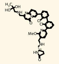 COc1nc(-c2cccc(-c3cccc(-c4ccc5nc(CNCC(C)(O)O)cc(=O)n5c4)c3Cl)c2Cl)ccc1CNC[C@@H]1CCC(=O)N1